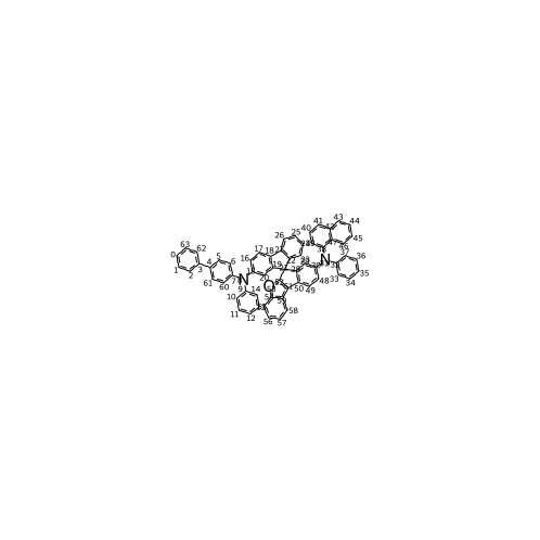 c1ccc(-c2ccc(N(c3ccccc3)c3ccc4c(c3)C3(c5ccccc5-4)c4cc(N(c5ccccc5)c5cccc6ccccc56)ccc4-c4c3oc3ccccc43)cc2)cc1